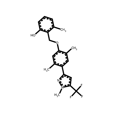 Cc1cc(-c2cc(C(F)(F)F)n(C)n2)c(C)cc1OCc1c(C)cccc1O